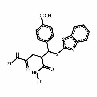 CCNC(=O)CC(C(=O)NCC)C(Sc1nc2ccccc2s1)c1ccc(C(=O)O)cc1